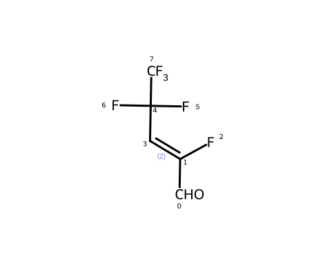 O=C/C(F)=C/C(F)(F)C(F)(F)F